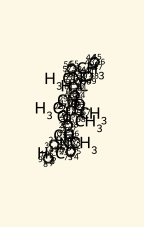 Cc1ccc(-c2ccccc2)cc1N(c1ccc2cc3c(cc2c1)oc1c(C(C)C)c2c(oc4cc5cc(N(c6cc(-c7ccccc7)ccc6C)c6c(C)cccc6C)ccc5cc42)c(C(C)C)c13)c1c(C)cccc1C